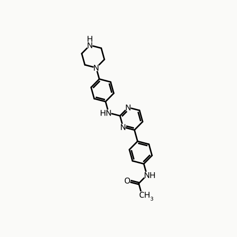 CC(=O)Nc1ccc(-c2ccnc(Nc3ccc(N4CCNCC4)cc3)n2)cc1